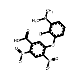 CN(C)c1cccc(Oc2cc(C(=O)O)c([N+](=O)[O-])cc2[N+](=O)[O-])c1Cl